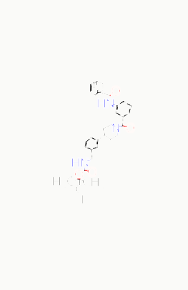 CC(C)(C)OC(=O)NCc1cccc(C2CCN(C(=O)c3cccc(NC(=O)C4CC5C=CC4CC5)c3)CC2)c1